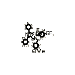 CCCCn1c(-c2ccccc2)nc(-c2ccccc2)c1CN(Cc1ccc(OC)cc1)Cc1ccc(C(F)(F)F)cc1F